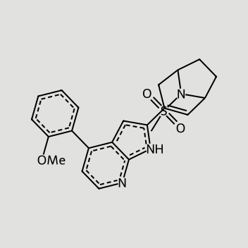 COc1ccccc1-c1ccnc2[nH]c(C3=CC4CCC(C3)N4S(C)(=O)=O)cc12